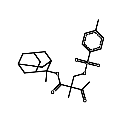 CC(=O)C(C)(COS(=O)(=O)c1ccc(C)cc1)C(=O)OC1(C)C2CC3CC(C2)CC1C3